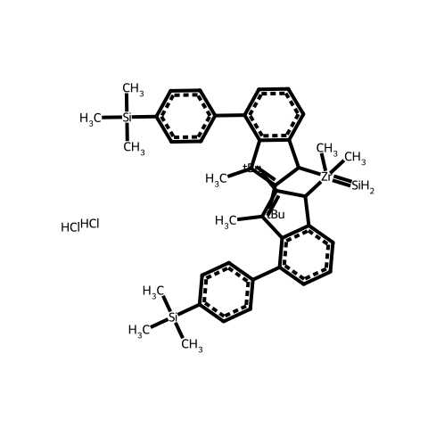 CC1=C(C(C)(C)C)[CH]([Zr]([CH3])([CH3])(=[SiH2])[CH]2C(C(C)(C)C)=C(C)c3c(-c4ccc([Si](C)(C)C)cc4)cccc32)c2cccc(-c3ccc([Si](C)(C)C)cc3)c21.Cl.Cl